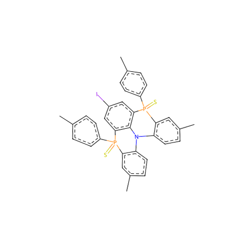 Cc1ccc(P2(=S)c3cc(C)ccc3N3c4ccc(C)cc4P(=S)(c4ccc(C)cc4)c4cc(I)cc2c43)cc1